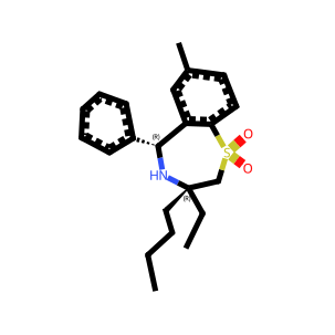 CCCC[C@]1(CC)CS(=O)(=O)c2ccc(C)cc2[C@@H](c2ccccc2)N1